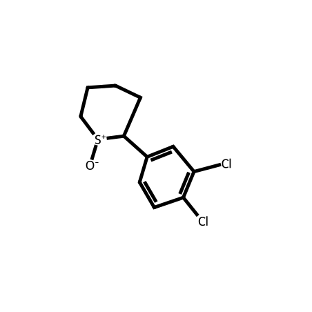 [O-][S+]1CCCCC1c1ccc(Cl)c(Cl)c1